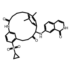 Cc1cc2cc(C)c1CCCC(=O)Nc1ccc(S(=O)(=O)C3CC3)c(c1)CCC(=O)C2Nc1ccc2cc[nH]c(=O)c2c1